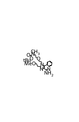 COCCc1nc2c(N)nc3ccccc3c2n1CCOCCN(C)C(=O)OC(C)(C)C